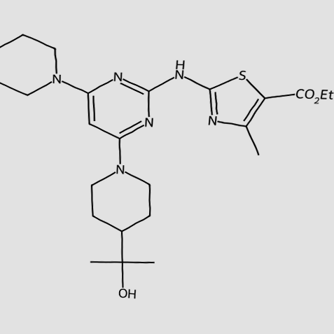 CCOC(=O)c1sc(Nc2nc(N3CCOCC3)cc(N3CCC(C(C)(C)O)CC3)n2)nc1C